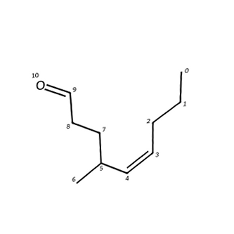 CCC/C=C\C(C)CCC=O